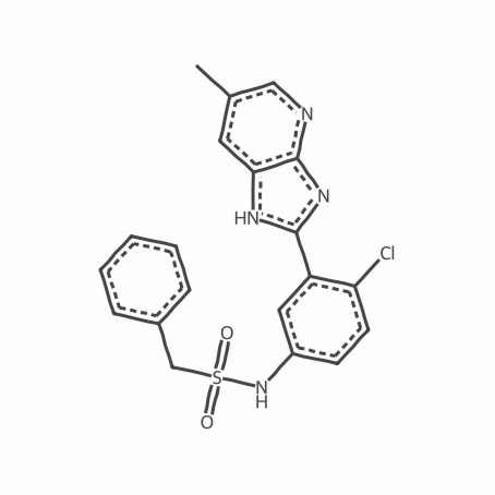 Cc1cnc2nc(-c3cc(NS(=O)(=O)Cc4ccccc4)ccc3Cl)[nH]c2c1